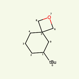 CC(C)(C)C1CCCC2(COC2)C1